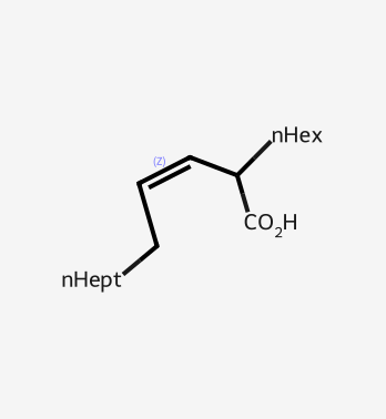 CCCCCCCC/C=C\C(CCCCCC)C(=O)O